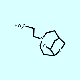 CC1CC2CCC1CCP(CCC(=O)O)CC2